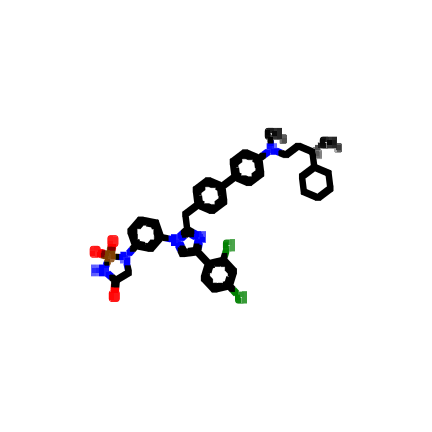 C[C@@H](CCN(C)c1ccc(-c2ccc(Cc3nc(-c4ccc(Cl)cc4Cl)cn3-c3cccc(N4CC(=O)NS4(=O)=O)c3)cc2)cc1)C1CCCCC1